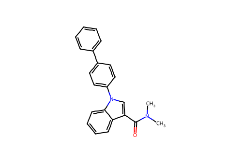 CN(C)C(=O)c1cn(-c2ccc(-c3ccccc3)cc2)c2ccccc12